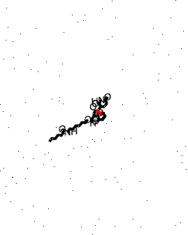 CCCCCC(=O)NCCCCCCOC1=NC=C2C=CC=CC23C(=O)C(C2CCC(=O)NC2=O)C(=O)C=C13